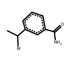 CC(Br)c1cccc(C(N)=O)c1